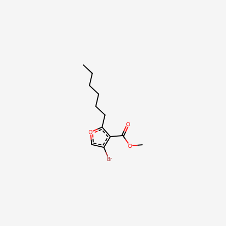 CCCCCCc1occ(Br)c1C(=O)OC